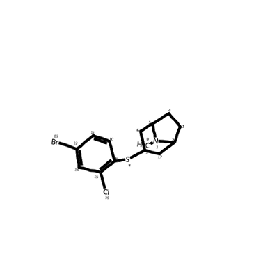 CN1C2CCC1CC(Sc1ccc(Br)cc1Cl)C2